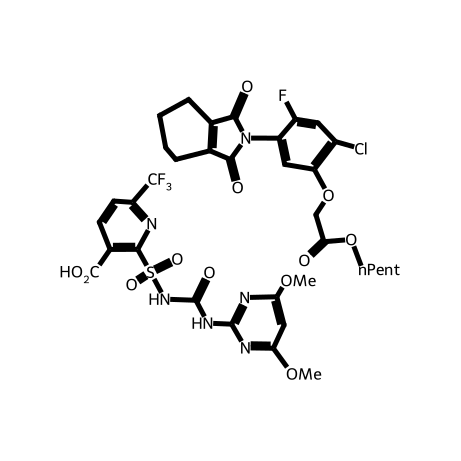 CCCCCOC(=O)COc1cc(N2C(=O)C3=C(CCCC3)C2=O)c(F)cc1Cl.COc1cc(OC)nc(NC(=O)NS(=O)(=O)c2nc(C(F)(F)F)ccc2C(=O)O)n1